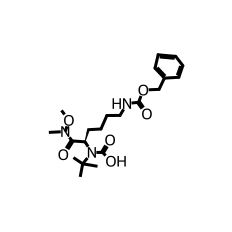 CON(C)C(=O)[C@@H](CCCCNC(=O)OCc1ccccc1)N(C(=O)O)C(C)(C)C